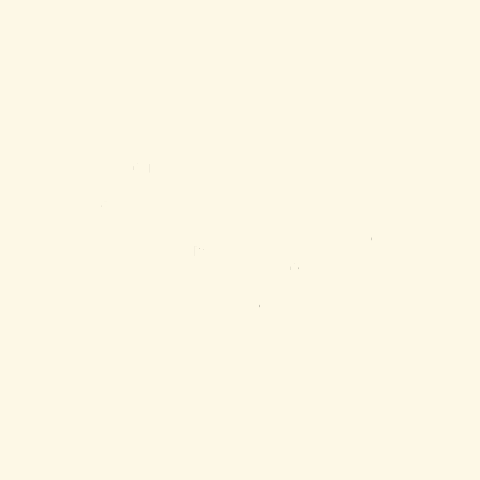 CCOC(CCOC(Br)CC=C(C)C)OCC